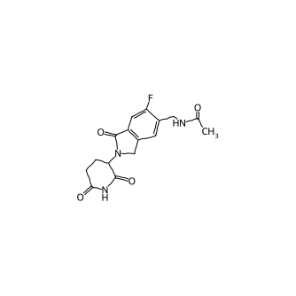 CC(=O)NCc1cc2c(cc1F)C(=O)N(C1CCC(=O)NC1=O)C2